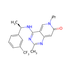 Cc1nc(N[C@H](C)c2cccc(C(F)(F)F)c2)c2cn(C(C)C)c(=O)cc2n1